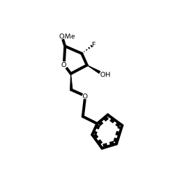 COC1O[C@H](COCc2ccccc2)[C@H](O)[C@H]1F